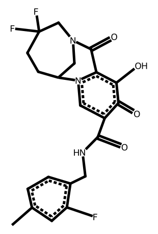 Cc1ccc(CNC(=O)c2cn3c(c(O)c2=O)C(=O)N2CC3CCC(F)(F)C2)c(F)c1